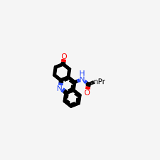 CCCC(=O)Nc1c2c(nc3ccccc13)CCC(=O)C2